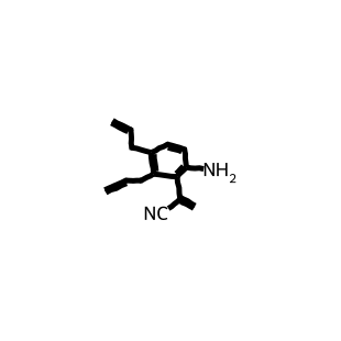 C=CCc1ccc(N)c(C(=C)C#N)c1CC=C